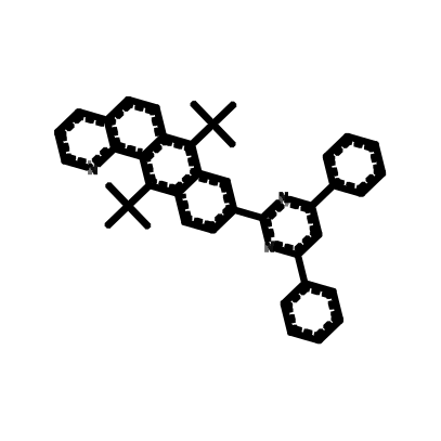 CC(C)(C)c1c2cc(-c3nc(-c4ccccc4)cc(-c4ccccc4)n3)ccc2c(C(C)(C)C)c2c1ccc1cccnc12